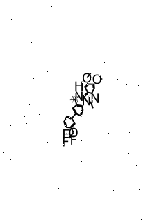 COc1cc2nc(C)nc(N[C@H](C)c3cccc(-c4cccc(OC(F)(F)F)c4)c3)c2cc1OC